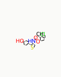 C[C@@H](OC(=O)Nc1ccsc1-c1ccc(O)cc1)c1ccccc1Cl